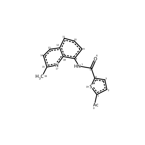 CC(=O)c1ccc(C(=O)Nc2cccc3ccc(C)nc23)s1